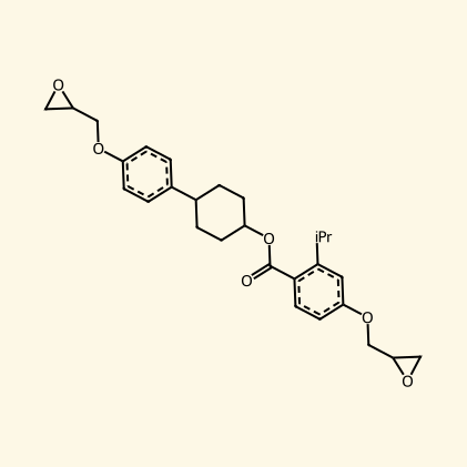 CC(C)c1cc(OCC2CO2)ccc1C(=O)OC1CCC(c2ccc(OCC3CO3)cc2)CC1